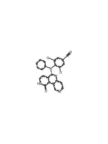 N#Cc1cc(Cl)c(N(c2ccccc2)c2nc3ccncc3c3c(=O)[nH]ccc23)c(Cl)c1